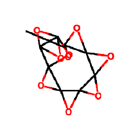 CC1OC12OC21OC12OC21OC12OC21OC23OC21O3